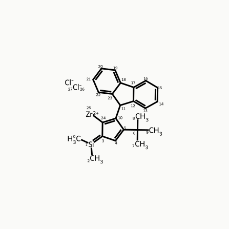 C[Si](C)=C1C=C(C(C)(C)C)C(C2c3ccccc3-c3ccccc32)=[C]1[Zr+2].[Cl-].[Cl-]